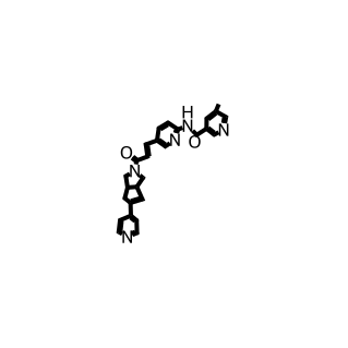 Cc1cncc(C(=O)Nc2ccc(/C=C/C(=O)N3CC4C=C(c5ccncc5)CC4C3)cn2)c1